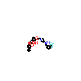 CC(C)(C)c1ccc(O[C@H](Cc2ccc(OCCN3CC4C(C3)C4NCc3cccc(C(F)(F)F)c3)cc2)C(=O)O)cc1